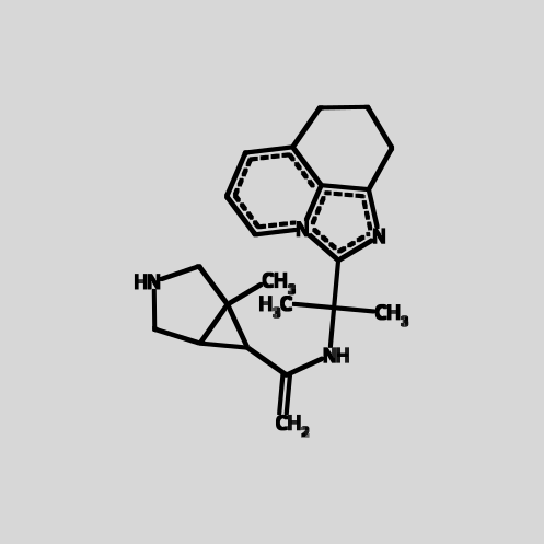 C=C(NC(C)(C)c1nc2c3c(cccn13)CCC2)C1C2CNCC21C